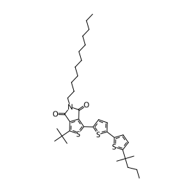 CCCCCCCCCCCCN1C(=O)c2c(-c3ccc(-c4ccc(C(C)(C)CCC)s4)s3)sc(C(C)(C)C)c2C1=O